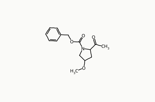 COC1CC(C(C)=O)N(C(=O)OCc2ccccc2)C1